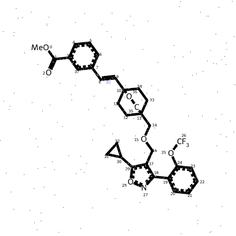 COC(=O)c1cccc(/C=C/C23CCC(COCc4c(-c5ccccc5OC(F)(F)F)noc4C4CC4)(CC2)CO3)c1